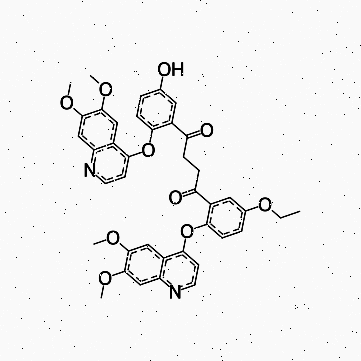 CCOc1ccc(Oc2ccnc3cc(OC)c(OC)cc23)c(C(=O)CCC(=O)c2cc(O)ccc2Oc2ccnc3cc(OC)c(OC)cc23)c1